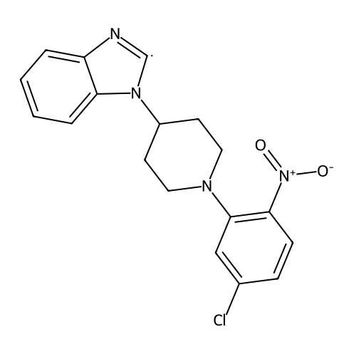 O=[N+]([O-])c1ccc(Cl)cc1N1CCC(n2[c]nc3ccccc32)CC1